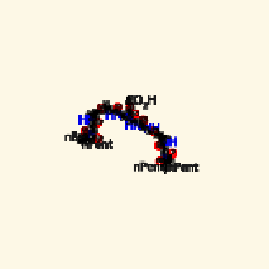 CCCCCC(C)(CCCCC)C1CC(=O)N(CCC(=O)NC(C)(C)CCOCNCC(=O)NCCN(CCNC(=O)CCC(C)(C)OCCC(C)(C)NC(=O)CCN2C(=O)CC(C(C)(CCCC)CCCCC)C2=O)C(=O)COCC(=O)O)C1=O